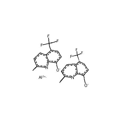 Cc1ccc2c(C(F)(F)F)ccc([O-])c2n1.Cc1ccc2c(C(F)(F)F)ccc([O-])c2n1.[Al+2]